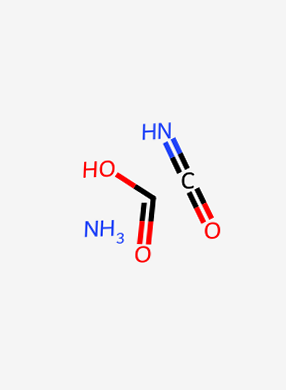 N.N=C=O.O=CO